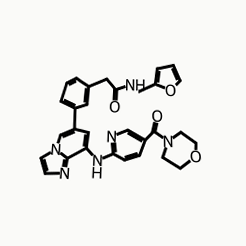 O=C(Cc1cccc(-c2cc(Nc3ccc(C(=O)N4CCOCC4)cn3)c3nccn3c2)c1)NCc1ccco1